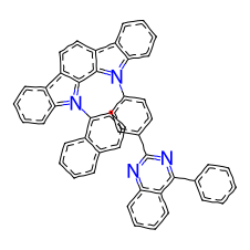 c1ccc(-c2nc(-c3ccc(-n4c5ccccc5c5ccc6c7ccccc7n(-c7cccc8ccccc78)c6c54)cc3)nc3ccccc23)cc1